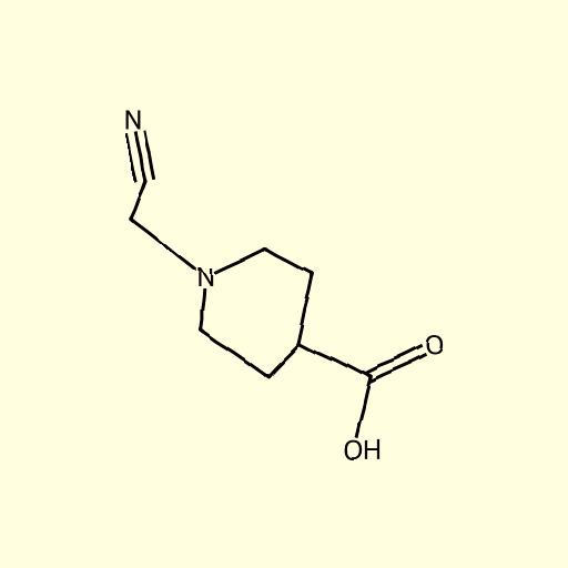 N#CCN1CCC(C(=O)O)CC1